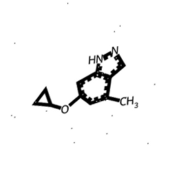 Cc1cc(OC2CC2)cc2[nH]ncc12